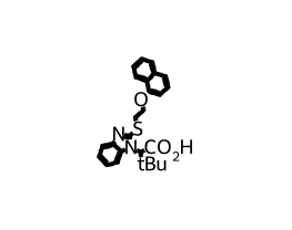 CC(C)(C)C(C(=O)O)n1c(SCCOc2cccc3ccccc23)nc2ccccc21